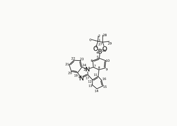 CC1(C)OB(C2=CC3C(C=C2)C2=C(CCC=C2)c2nc4ccccc4n23)OC1(C)C